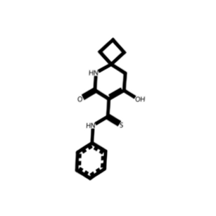 O=C1NC2(CCC2)CC(O)=C1C(=S)Nc1ccccc1